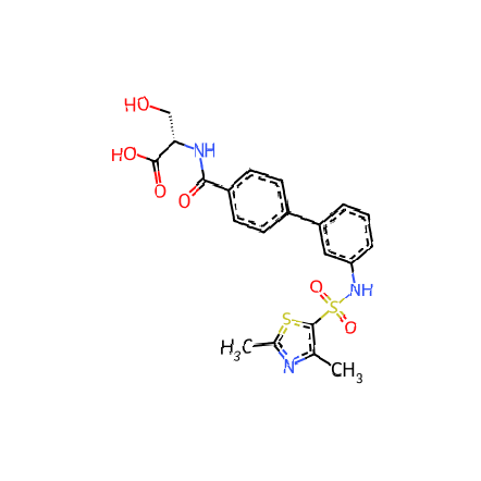 Cc1nc(C)c(S(=O)(=O)Nc2cccc(-c3ccc(C(=O)N[C@@H](CO)C(=O)O)cc3)c2)s1